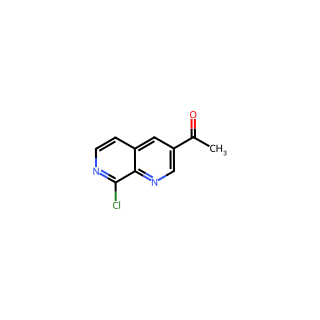 CC(=O)c1cnc2c(Cl)nccc2c1